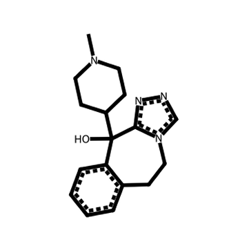 CN1CCC(C2(O)c3ccccc3CCn3cnnc32)CC1